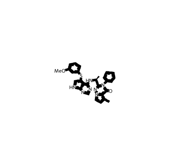 COc1cccc(Sc2c[nH]c3ncnc(N[C@@H](C)c4nn5ccc(C)c5c(=O)n4-c4ccccc4)c23)c1